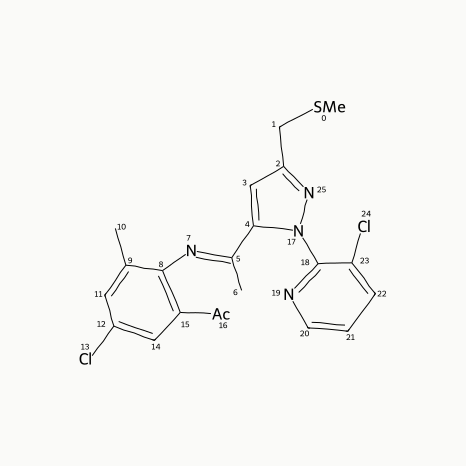 CSCc1cc(/C(C)=N/c2c(C)cc(Cl)cc2C(C)=O)n(-c2ncccc2Cl)n1